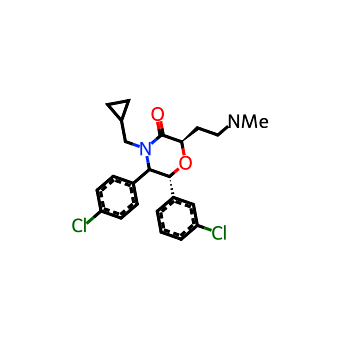 CNCC[C@H]1O[C@H](c2cccc(Cl)c2)C(c2ccc(Cl)cc2)N(CC2CC2)C1=O